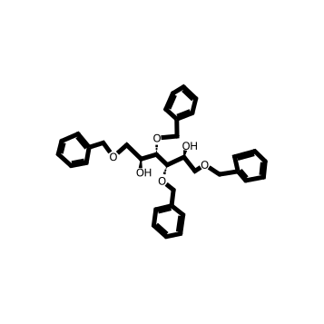 O[C@@H](COCc1ccccc1)[C@H](OCc1ccccc1)[C@@H](OCc1ccccc1)[C@@H](O)COCc1ccccc1